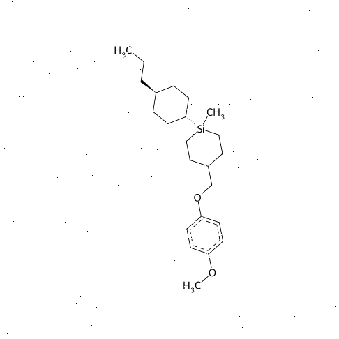 CCC[C@H]1CC[C@H]([Si]2(C)CCC(COc3ccc(OC)cc3)CC2)CC1